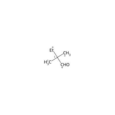 [CH2]CC(C)(C)C=O